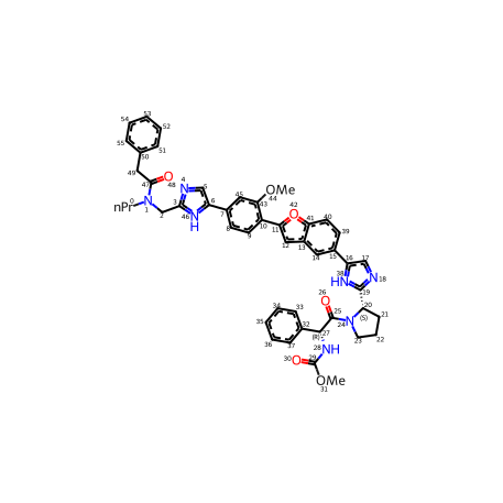 CCCN(Cc1ncc(-c2ccc(-c3cc4cc(-c5cnc([C@@H]6CCCN6C(=O)[C@H](NC(=O)OC)c6ccccc6)[nH]5)ccc4o3)c(OC)c2)[nH]1)C(=O)Cc1ccccc1